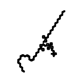 CCCCC/C=C\C/C=C\C/C=C\C/C=C\CCCCCC(=O)O[C@H](COC(=O)CCCCCCCCCCCCCCC)COP(=O)([O-])OCC[N+](C)(C)C